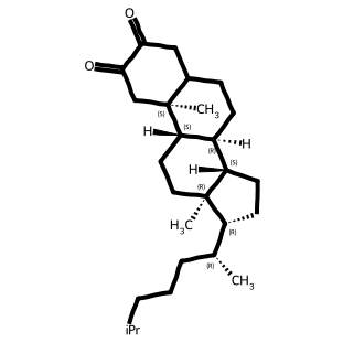 CC(C)CCC[C@@H](C)[C@H]1CC[C@H]2[C@@H]3CCC4CC(=O)C(=O)C[C@]4(C)[C@H]3CC[C@]12C